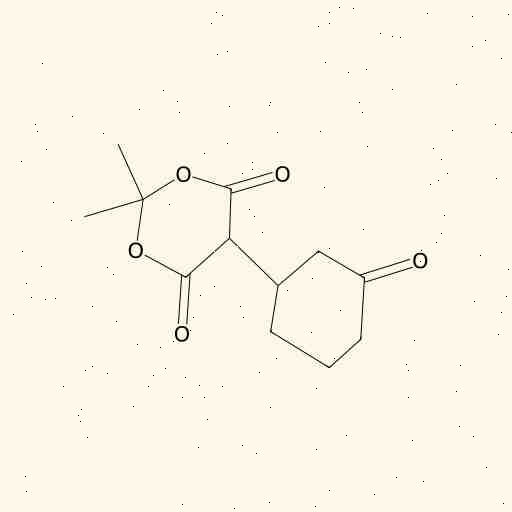 CC1(C)OC(=O)C(C2CCCC(=O)C2)C(=O)O1